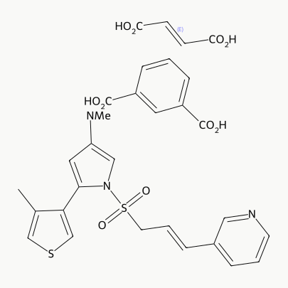 CNc1cc(-c2cscc2C)n(S(=O)(=O)CC=Cc2cccnc2)c1.O=C(O)/C=C/C(=O)O.O=C(O)c1cccc(C(=O)O)c1